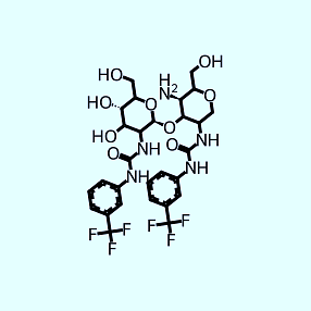 N[C@H]1C(CO)OCC(NC(=O)Nc2cccc(C(F)(F)F)c2)C1O[C@@H]1OC(CO)[C@@H](O)C(O)C1NC(=O)Nc1cccc(C(F)(F)F)c1